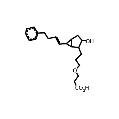 O=C(O)CCOCCCC1C(O)CC2C(C=CCCc3ccccc3)C12